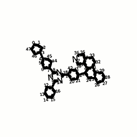 c1ccc(-c2ccc(-c3nc(-c4ccccc4)nc(-c4ccc(-c5cc6ccccc6c6ccc7ccncc7c56)cc4)n3)cc2)cc1